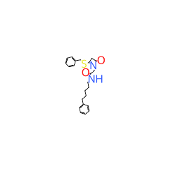 O=C(CN1C(=O)CC1SCc1ccccc1)NCCCCCc1ccccc1